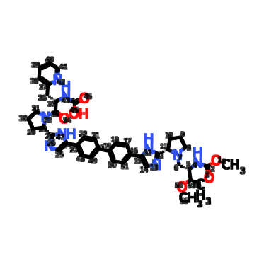 COC(=O)N[C@@H](CN1CCC[C@H]1c1ncc(-c2ccc(-c3ccc(-c4cnc([C@@H]5CCCN5C(=O)[C@H](Cc5ccccn5)NC(=O)O)[nH]4)cc3)cc2)[nH]1)[C@@H](C)OC